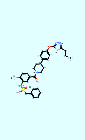 CCCc1nnc(Oc2ccc(C3CCN(C(=O)c4ccc(C)c(NS(=O)(=O)Cc5ccccc5)c4)CC3)cc2)s1